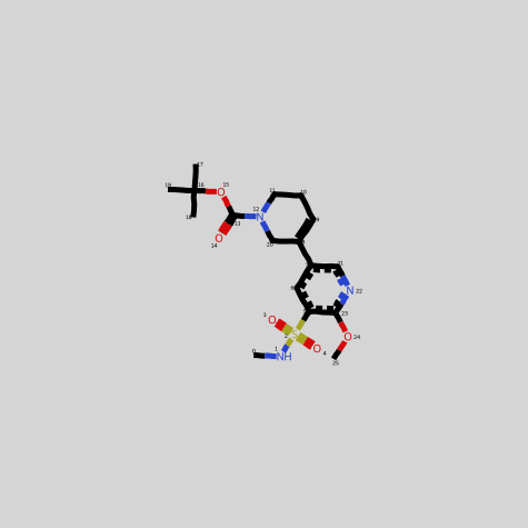 CNS(=O)(=O)c1cc(C2=CCCN(C(=O)OC(C)(C)C)C2)cnc1OC